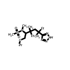 CCC(C)(CC(C)(CC)C(COC(C)C)N(C)S(C)(=O)=O)c1nn[nH]n1